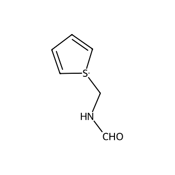 O=CNC[S]1C=CC=C1